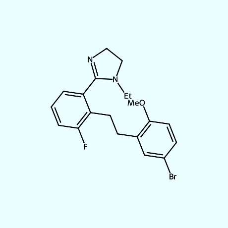 CCN1CCN=C1c1cccc(F)c1CCc1cc(Br)ccc1OC